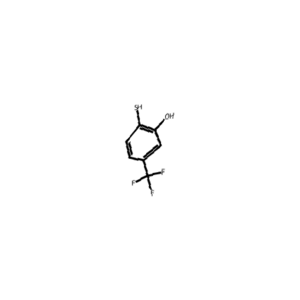 Oc1cc(C(F)(F)F)ccc1S